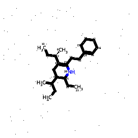 CCC(C)C1CC([C@@H](C)CC)=C(CCC2=CCCCC2)NC1CC